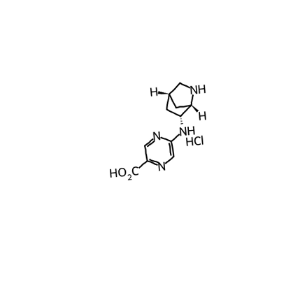 Cl.O=C(O)c1cnc(N[C@@H]2C[C@@H]3CN[C@H]2C3)cn1